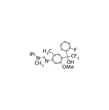 COc1cc(/N=C/N(C)C(C)C)c(C)cc1C(O)(c1ccccc1F)C(F)(F)F